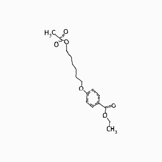 CCOC(=O)c1ccc(OCCCCCCOS(C)(=O)=O)cc1